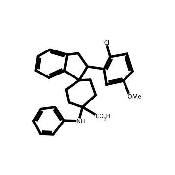 COc1ccc(Cl)c(C2Cc3ccccc3C23CCC(Nc2ccccc2)(C(=O)O)CC3)c1